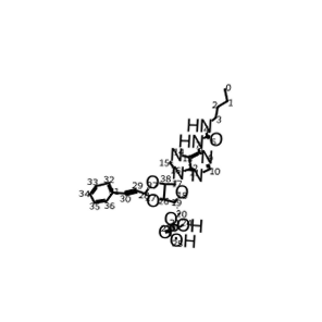 CCCCNC(=O)Nc1ncnc2c1ncn2[C@@H]1O[C@H](COP(=O)(O)O)C2OC(C#Cc3ccccc3)OC21